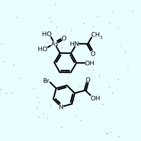 CC(=O)Nc1c(O)cccc1[As](=O)(O)O.O=C(O)c1cncc(Br)c1